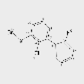 Fc1ccccc1-c1cccc(CBr)c1Cl